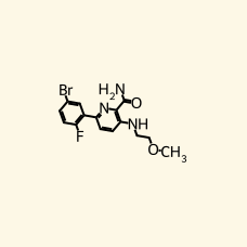 COCCNc1ccc(-c2cc(Br)ccc2F)nc1C(N)=O